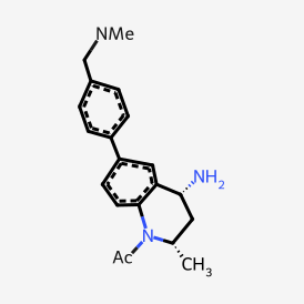 CNCc1ccc(-c2ccc3c(c2)[C@H](N)C[C@H](C)N3C(C)=O)cc1